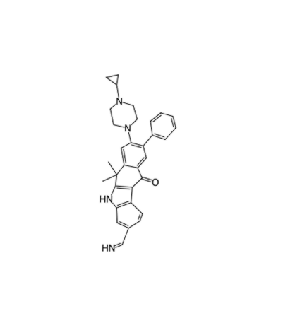 CC1(C)c2cc(N3CCN(C4CC4)CC3)c(-c3ccccc3)cc2C(=O)c2c1[nH]c1cc(C=N)ccc21